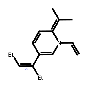 C=CN1C=C(/C(=C\CC)CC)C=CC1=C(C)C